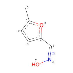 Cc1ccc(/C=N\O)o1